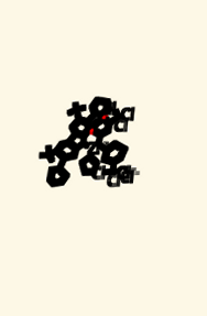 CC(C)(C)c1cc2c(cc1-c1ccccc1)[CH]([Zr+2]([C]1=CC=CC1)=[C](c1cccc(C(Cl)(Cl)Cl)c1)c1cccc(C(Cl)(Cl)Cl)c1)c1cc(-c3ccccc3)c(C(C)(C)C)cc1-2.[Cl-].[Cl-]